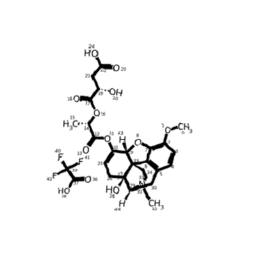 COc1ccc2c3c1O[C@H]1C(OC(=O)[C@H](C)OC(=O)[C@@H](O)CC(=O)O)=CC[C@@]4(O)[C@@H](C2)N(C)CC[C@]314.O=C(O)C(F)(F)F